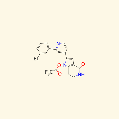 CCc1cccc(-c2cc(-c3cc4c(n3OC(=O)C(F)(F)F)CCNC4=O)ccn2)c1